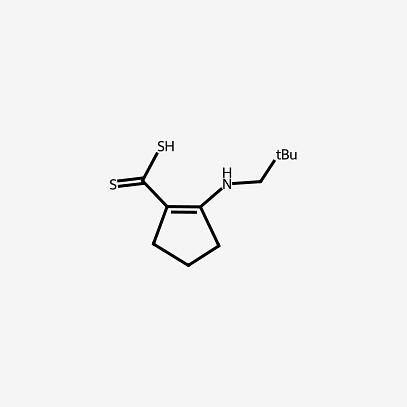 CC(C)(C)CNC1=C(C(=S)S)CCC1